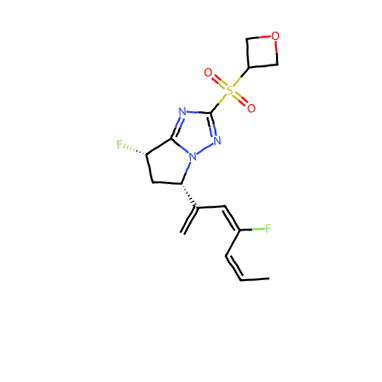 C=C(/C=C(F)\C=C/C)[C@@H]1C[C@H](F)c2nc(S(=O)(=O)C3COC3)nn21